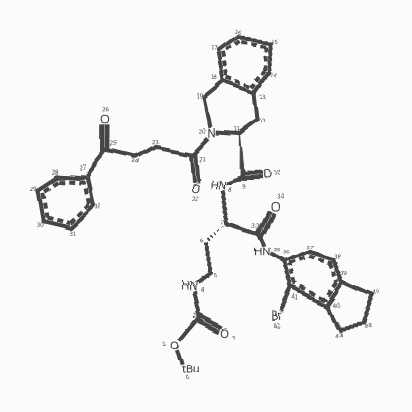 CC(C)(C)OC(=O)NCC[C@H](NC(=O)[C@@H]1Cc2ccccc2CN1C(=O)CCC(=O)c1ccccc1)C(=O)Nc1ccc2c(c1Br)CCC2